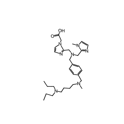 CCCN(CCC)CCCCN(C)Cc1ccc(CN(Cc2nccn2C)Cc2nccn2CC(=O)O)cc1